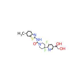 Cc1ccc2nc(NC(=O)N3CCC(F)(c4ncc([C@@H](O)CO)cc4F)CC3)sc2c1